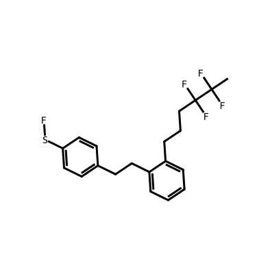 CC(F)(F)C(F)(F)CCCc1ccccc1CCc1ccc(SF)cc1